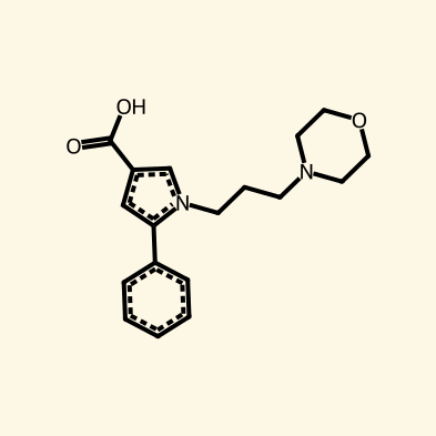 O=C(O)c1cc(-c2ccccc2)n(CCCN2CCOCC2)c1